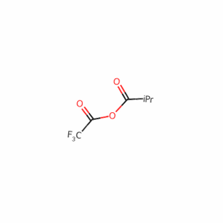 CC(C)C(=O)OC(=O)C(F)(F)F